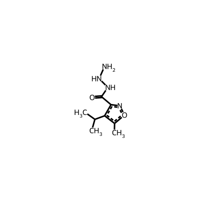 Cc1onc(C(=O)NNN)c1C(C)C